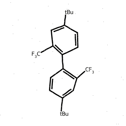 CC(C)(C)c1ccc(-c2ccc(C(C)(C)C)cc2C(F)(F)F)c(C(F)(F)F)c1